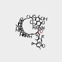 CO[C@H]1/C=C/O[C@@]2(C)Oc3c(C)c(O)c4c(c3C2=O)C(=O)C(NCC2CCN(c3c(F)cn5c(=O)c(C)cc(C6CC6)c5c3C)C2)=C(NC(=O)/C(C)=C\C=C\[C@H](C)[C@H](O)[C@@H](C)[C@@H](O)[C@@H](C)[C@H](OC(C)=O)[C@@H]1C)C4=O